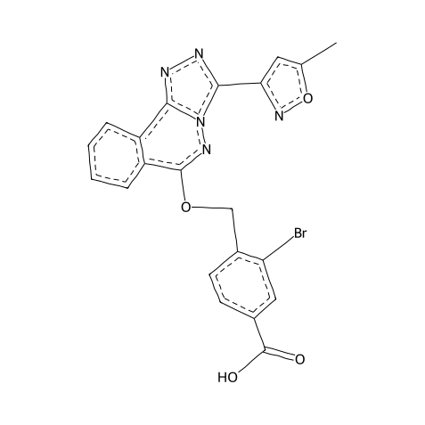 Cc1cc(-c2nnc3c4ccccc4c(OCc4ccc(C(=O)O)cc4Br)nn23)no1